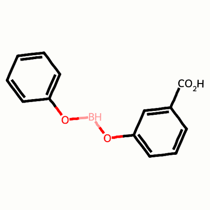 O=C(O)c1cccc(OBOc2ccccc2)c1